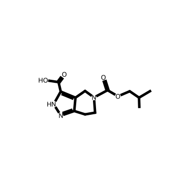 CC(C)COC(=O)N1CCc2n[nH]c(C(=O)O)c2C1